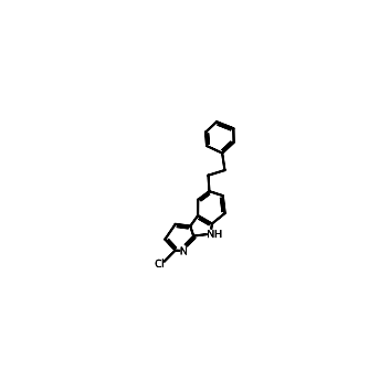 Clc1ccc2c(n1)[nH]c1ccc(CCc3ccccc3)cc12